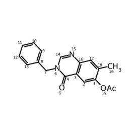 CC(=O)Oc1cc2c(=O)n(Cc3ccccc3)cnc2cc1C